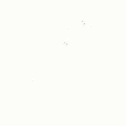 CCOC(C)=O.NC(=O)N(C1CCCCC1)C1CCCCC1